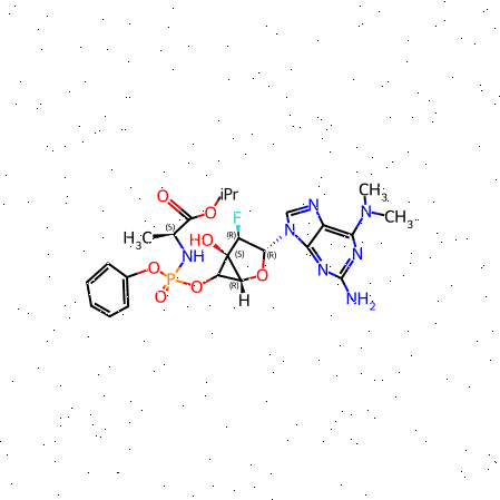 CC(C)OC(=O)[C@H](C)NP(=O)(Oc1ccccc1)OC1[C@H]2O[C@@H](n3cnc4c(N(C)C)nc(N)nc43)[C@H](F)[C@@]12O